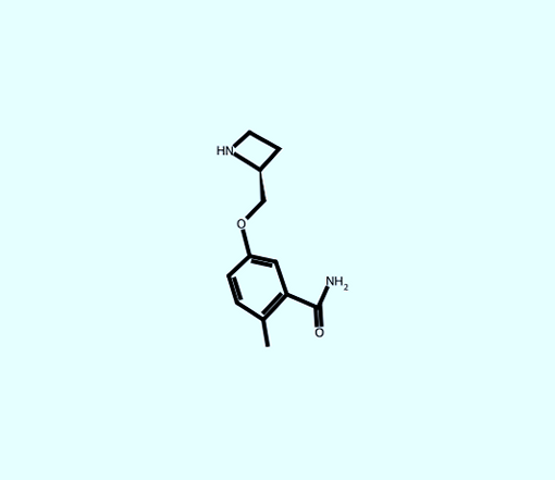 Cc1ccc(OC[C@@H]2CCN2)cc1C(N)=O